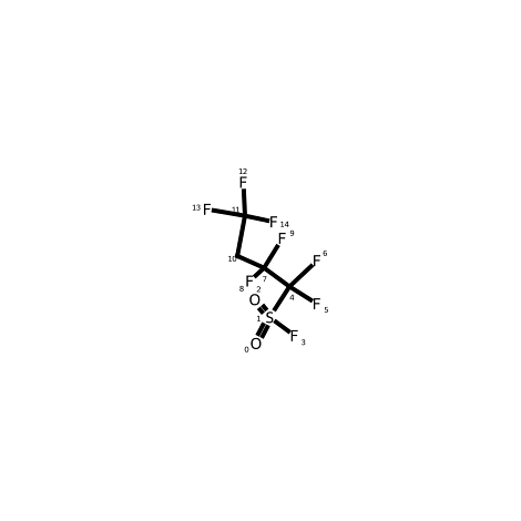 O=S(=O)(F)C(F)(F)C(F)(F)CC(F)(F)F